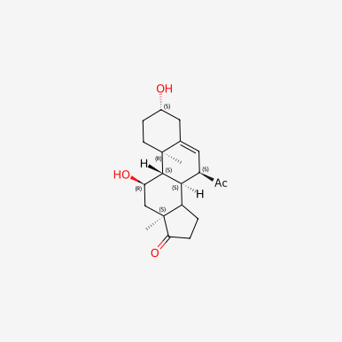 CC(=O)[C@@H]1C=C2C[C@@H](O)CC[C@]2(C)[C@@H]2[C@@H]1C1CCC(=O)[C@@]1(C)C[C@H]2O